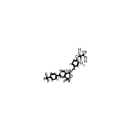 CC(C)(Oc1ccc(CNC(=O)c2cnc(-c3ccc(C(F)(F)F)cc3)nc2C(F)(F)F)cc1)C(=O)O